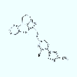 Cc1cn(-c2ccc(/C=C/c3nc4n(n3)CCC[C@H]4c3ccccc3C(F)(F)F)nc2F)cn1